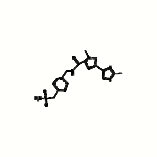 Cc1nc(-c2cc(C(=O)NCc3ccc(CS(N)(=O)=O)cc3)n(C)c2)cs1